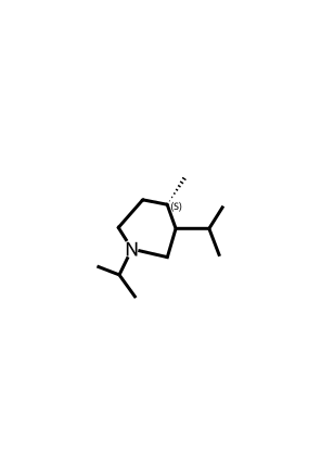 CC(C)C1CN(C(C)C)CC[C@@H]1C